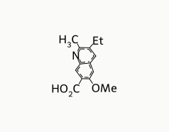 CCc1cc2cc(OC)c(C(=O)O)cc2nc1C